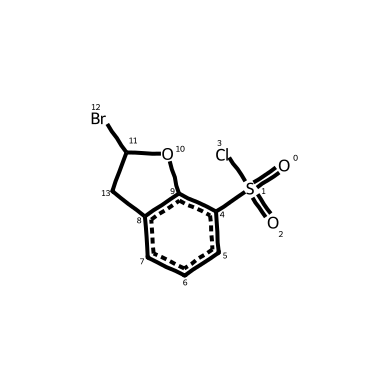 O=S(=O)(Cl)c1cccc2c1OC(Br)C2